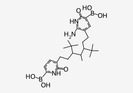 CC(C(CCc1cc(B(O)O)c(=O)[nH]c1N)C(C)(C)C)C(CCc1ccc(B(O)O)[nH]c1=O)C(C)(C)C